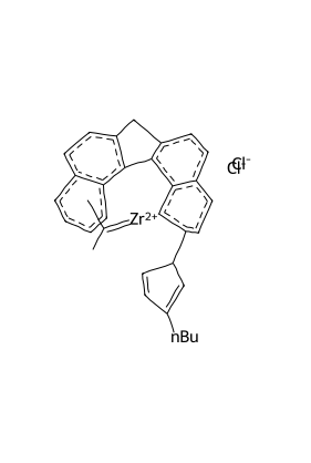 CCCCC1=CC(c2ccc3ccc4c(c3[c]2[Zr+2]=[C](C)C)-c2c(ccc3ccccc23)C4)C=C1.[Cl-].[Cl-]